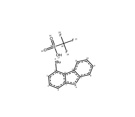 CC(C)(C)c1cccc2sc3ccccc3c12.O=S(=O)(O)C(F)(F)F